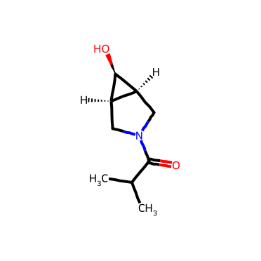 CC(C)C(=O)N1C[C@@H]2[C@H](O)[C@@H]2C1